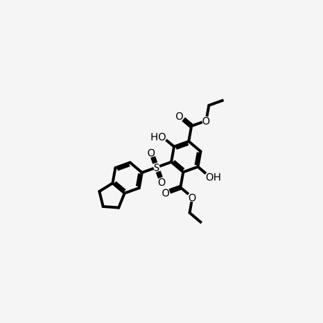 CCOC(=O)c1cc(O)c(C(=O)OCC)c(S(=O)(=O)c2ccc3c(c2)CCC3)c1O